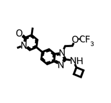 Cc1cc(-c2ccc3nc(NC4CCC4)n(CCOC(F)(F)F)c3c2)cn(C)c1=O